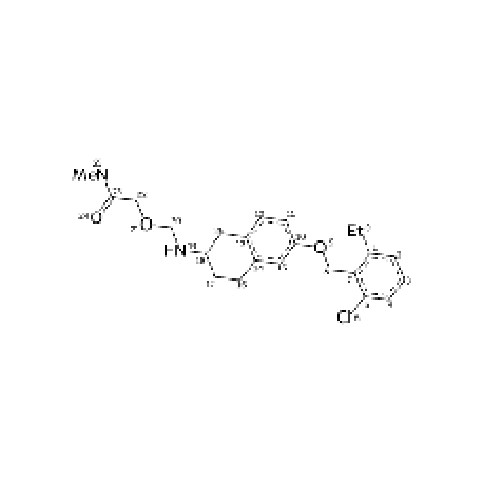 CCc1cccc(Cl)c1COc1ccc2c(c1)CCC(NCOCC(=O)NC)C2